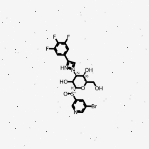 [O-][S+](c1cncc(Br)c1)[C@H]1OC(CO)[C@H](O)[C@H](n2cc(-c3cc(F)c(F)c(F)c3)[nH]2)C1O